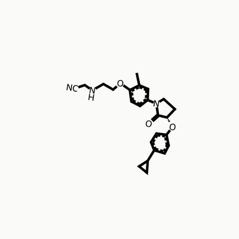 Cc1cc(N2CC[C@H](Oc3ccc(C4CC4)cc3)C2=O)ccc1OCCNCC#N